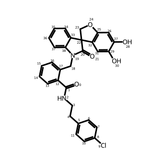 O=C(NCCc1ccc(Cl)cc1)c1ccccc1CN1C(=O)C2(COc3cc(O)c(O)cc32)c2ccccc21